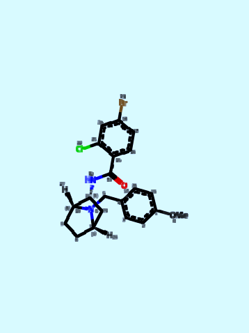 COc1ccc(CN2[C@H]3CC[C@@H]2[C@H](NC(=O)c2ccc(Br)cc2Cl)C3)cc1